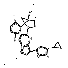 Fc1ccc(F)c([C@@]23C[C@@H]2CCN3c2ccn3ncc(-c4cc(C5CC5)no4)c3n2)c1